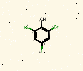 N#Cc1c(Br)cc(F)cc1Br